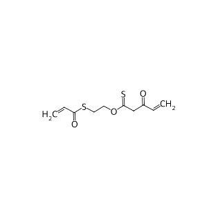 C=CC(=O)CC(=S)OCCSC(=O)C=C